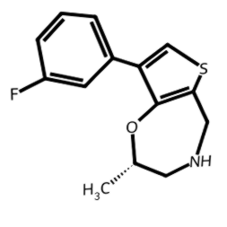 C[C@H]1CNCc2scc(-c3cccc(F)c3)c2O1